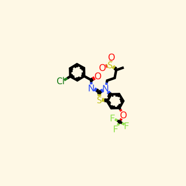 CC(CCn1c(=NC(=O)c2cccc(Cl)c2)sc2cc(OC(F)(F)F)ccc21)=S(=O)=O